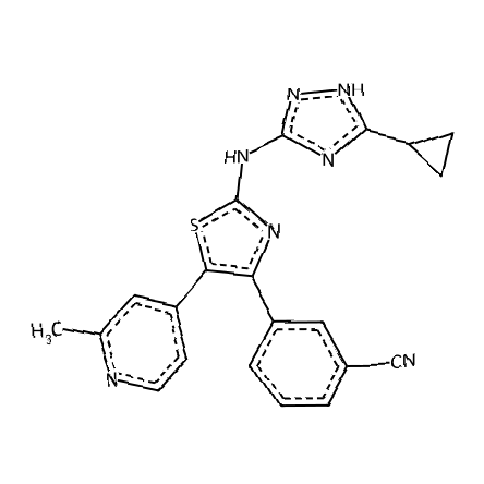 Cc1cc(-c2sc(Nc3n[nH]c(C4CC4)n3)nc2-c2cccc(C#N)c2)ccn1